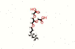 C[Si](C)(C)C[Si](C)(C)CCCOCC(COCC(=O)O)OCC(=O)O